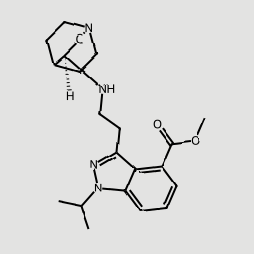 COC(=O)c1cccc2c1c(CCN[C@@H]1CN3CCC1CC3)nn2C(C)C